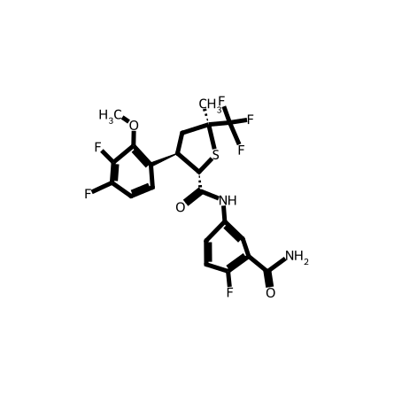 COc1c([C@H]2C[C@@](C)(C(F)(F)F)S[C@@H]2C(=O)Nc2ccc(F)c(C(N)=O)c2)ccc(F)c1F